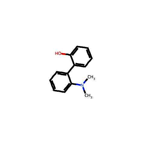 CN(C)c1c[c]ccc1-c1ccccc1O